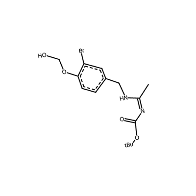 C/C(=N/C(=O)OC(C)(C)C)NCc1ccc(OCO)c(Br)c1